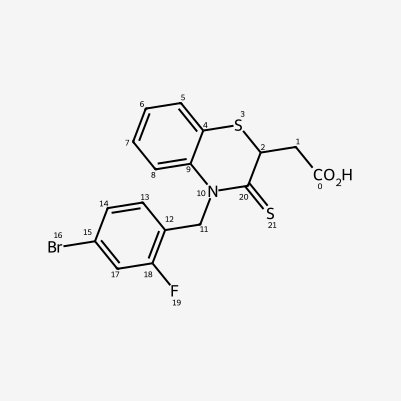 O=C(O)CC1Sc2ccccc2N(Cc2ccc(Br)cc2F)C1=S